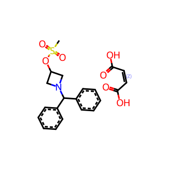 CS(=O)(=O)OC1CN(C(c2ccccc2)c2ccccc2)C1.O=C(O)/C=C\C(=O)O